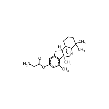 Cc1cc(OC(=O)CN)cc2c1[C@]1(C)CCC3C(C)(C)CCC[C@]3(C)[C@H]1C2